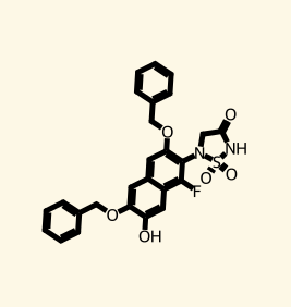 O=C1CN(c2c(OCc3ccccc3)cc3cc(OCc4ccccc4)c(O)cc3c2F)S(=O)(=O)N1